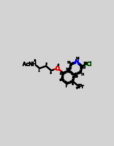 CC(=O)NCCCOc1ccc(C(C)C)c2cc(Cl)ncc12